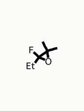 CCC1(F)OC1(C)C